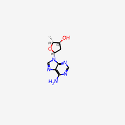 [CH2][C@H]1O[C@@H](n2cnc3c(N)ncnc32)C[C@@H]1O